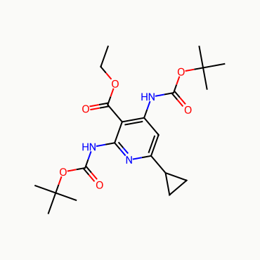 CCOC(=O)c1c(NC(=O)OC(C)(C)C)cc(C2CC2)nc1NC(=O)OC(C)(C)C